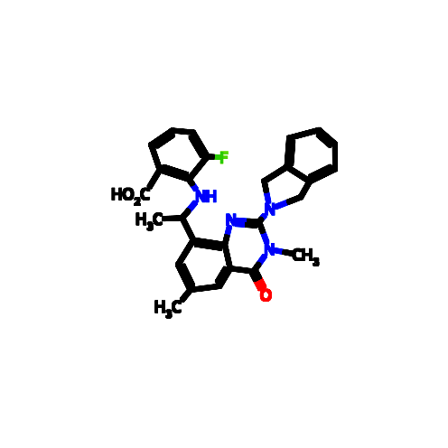 Cc1cc(C(C)Nc2c(F)cccc2C(=O)O)c2nc(N3Cc4ccccc4C3)n(C)c(=O)c2c1